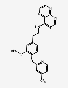 CCCOc1cc(CCNc2ncnc3nccnc23)ccc1Oc1cc(C(F)(F)F)ccn1